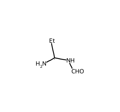 CC[C](N)NC=O